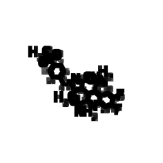 Cc1nn(Cc2ccc(S(C)(=O)=O)cc2)c(C)c1-c1c(C(N)=O)nc2cc(F)c(F)cc2c1C(N)=O